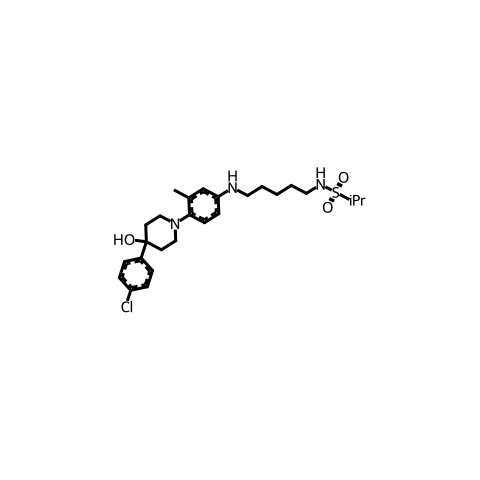 Cc1cc(NCCCCCNS(=O)(=O)C(C)C)ccc1N1CCC(O)(c2ccc(Cl)cc2)CC1